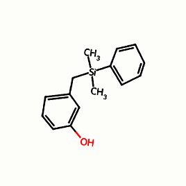 C[Si](C)(Cc1cccc(O)c1)c1ccccc1